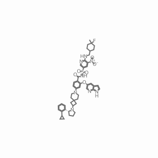 CC1(F)CCC(CNc2ncc(S(=O)(=O)NC(=O)c3ccc(N4CCC5(CC4)CC(N4CCC[C@@H]4c4ccccc4C4CC4)C5)cc3Oc3cnc4[nH]ccc4c3)cc2[N+](=O)[O-])CC1